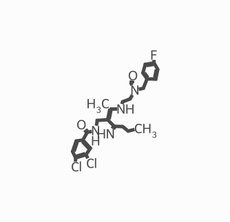 CCCC(=N)/C(CNC(=O)c1ccc(Cl)c(Cl)c1)=C(/C)NCCN(C=O)Cc1ccc(F)cc1